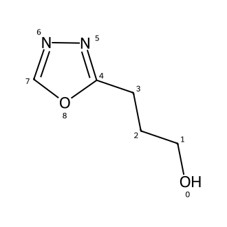 OCCCc1nnco1